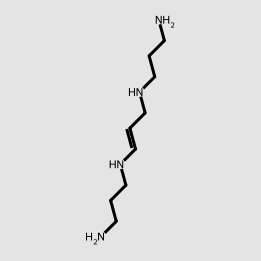 NCCCNC=CCNCCCN